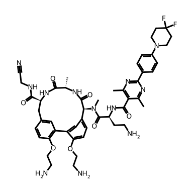 Cc1nc(-c2ccc(N3CCC(F)(F)CC3)cc2)nc(C)c1C(=O)N[C@@H](CCN)C(=O)N(C)[C@@H]1C(=O)N[C@@H](C)C(=O)N[C@H](C(=O)NCC#N)Cc2ccc(OCCN)c(c2)-c2cc1ccc2OCCN